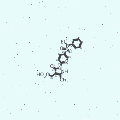 CCN(c1ccccc1)S(=O)(=O)c1ccc(-n2[nH]c(C)c(CC(=O)O)c2=O)nc1